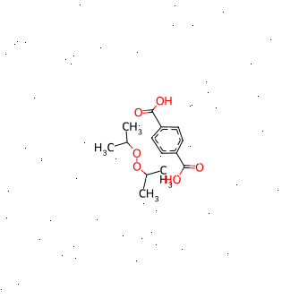 CC(C)OOC(C)C.O=C(O)c1ccc(C(=O)O)cc1